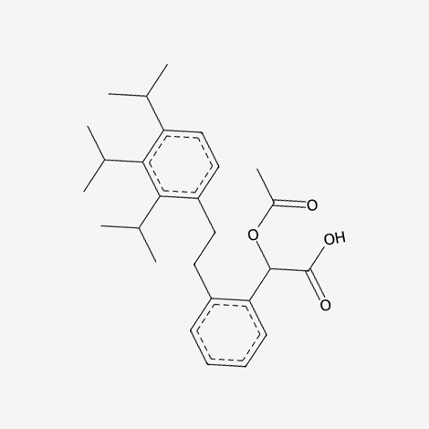 CC(=O)OC(C(=O)O)c1ccccc1CCc1ccc(C(C)C)c(C(C)C)c1C(C)C